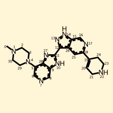 CN1CCN(c2cncc3[nH]c(-c4n[nH]c5cnc(C6=CCNCC6)cc45)nc23)CC1